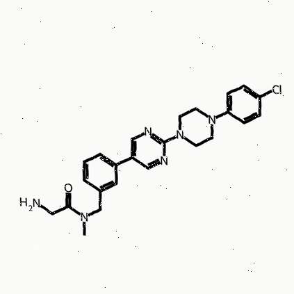 CN(Cc1cccc(-c2cnc(N3CCN(c4ccc(Cl)cc4)CC3)nc2)c1)C(=O)CN